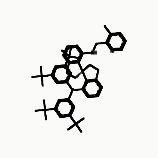 Cc1cccnc1CNc1cccc2c1[C@@]1(CC2)CCc2cccc(P(c3cc(C(C)(C)C)cc(C(C)(C)C)c3)c3cc(C(C)(C)C)cc(C(C)(C)C)c3)c21